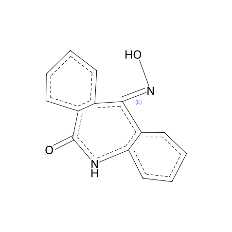 O=c1[nH]c2ccccc2/c(=N/O)c2ccccc12